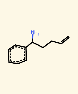 C=CCC[C@H](N)c1ccccc1